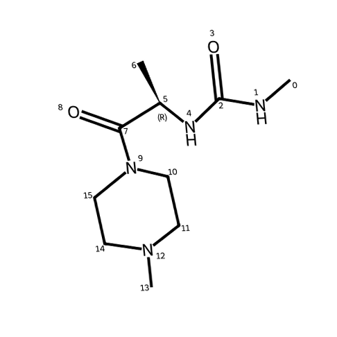 CNC(=O)N[C@H](C)C(=O)N1CCN(C)CC1